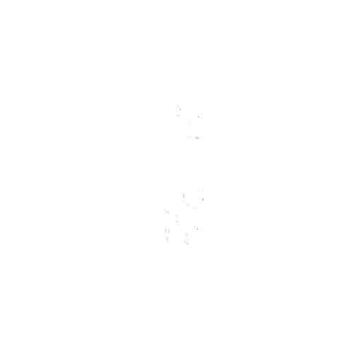 Nc1nccn2c(C3CCC3)nc(-c3cccc(OCc4ccc(-n5cncn5)cc4)c3)c12